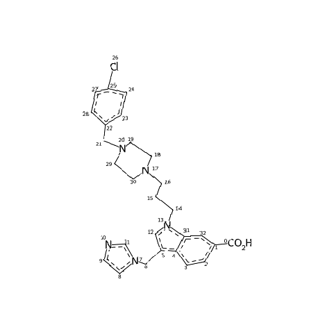 O=C(O)c1ccc2c(Cn3ccnc3)cn(CCCN3CCN(Cc4ccc(Cl)cc4)CC3)c2c1